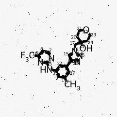 Cc1cc(Nc2nccc(C(F)(F)F)n2)cc(-c2cn(CC3(O)CCOCC3)nn2)c1